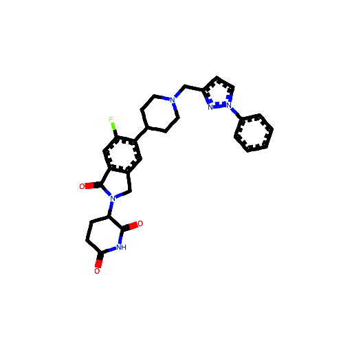 O=C1CCC(N2Cc3cc(C4CCN(Cc5ccn(-c6ccccc6)n5)CC4)c(F)cc3C2=O)C(=O)N1